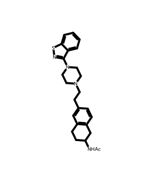 CC(=O)NC1CCc2cc(CCN3CCN(c4nsc5ccccc45)CC3)ccc2C1